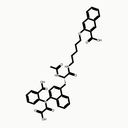 CC(=O)N[C@@H](Cc1ccc(N(C(=O)C(=O)O)c2ccccc2C(=O)O)c2ccccc12)C(=O)NCCCCCOc1cc2ccccc2cc1C(=O)O